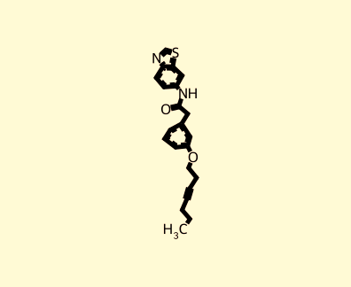 CCCC#CCCOc1cccc(CC(=O)Nc2ccc3ncsc3c2)c1